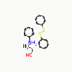 CCO.Nc1ccccc1.c1ccc(SSc2ccccc2)cc1